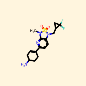 CN1c2nc(C3=CCC(N)CC3)ccc2N(CC2CC2(F)F)S1(=O)=O